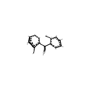 Cc1ccccc1C(=O)c1ccccc1C